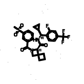 CS(=O)(=O)c1cccc(C(=O)N2CC3(CCC3)[C@@H]2C(=O)N[C@@H](c2ccc(C(F)(F)F)cc2F)C2CC2)c1